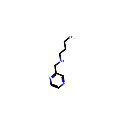 CCCCNCc1cnccn1